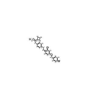 CN(Cc1ccc(CCn2ccc(OCc3ccc(F)cc3)cc2=O)cc1)C1CCC1